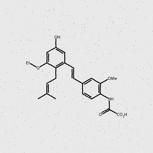 CCOc1cc(O)cc(/C=C/c2ccc(NC(=O)C(=O)O)c(OC)c2)c1CC=C(C)C